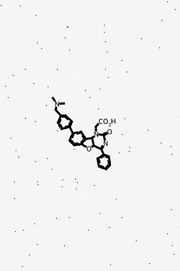 CN(C)Cc1ccc(-c2ccc3c(c2)C2C(O3)C(c3ccccc3)=NC(=O)N2CC(=O)O)cc1